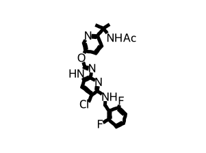 CC(=O)NC(C)(C)c1ccc(Oc2nc3nc(NCc4c(F)cccc4F)c(Cl)cc3[nH]2)cn1